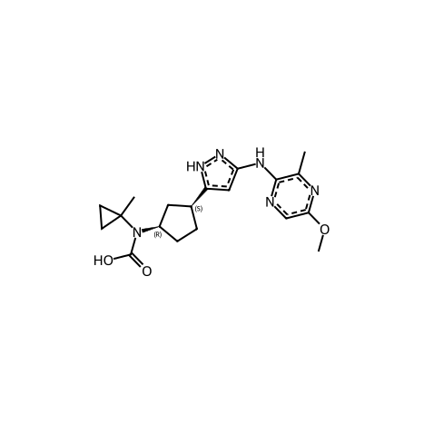 COc1cnc(Nc2cc([C@H]3CC[C@@H](N(C(=O)O)C4(C)CC4)C3)[nH]n2)c(C)n1